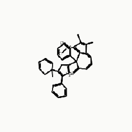 CC1=C(C)[C]([Hf]([Cl])[Cl])=C2C1=CC=CC(=[SiH2])C2(C1=CC(c2ccccc2)=C(C2(C)C=CC=CC2)C1)c1ccccc1